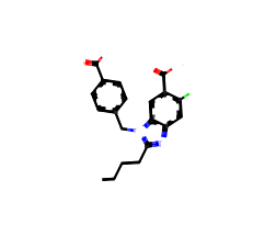 CCCCc1nc2cc(Cl)c(C(=O)O)cc2n1Cc1ccc(C(=O)O)cc1